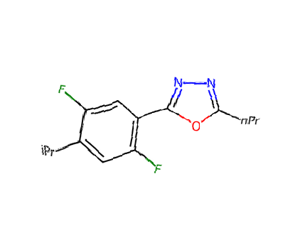 CCCc1nnc(-c2cc(F)c(C(C)C)cc2F)o1